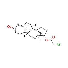 C[C@]12CC[C@H]3[C@@H](CCC4=CC(=O)CC[C@@]43C)[C@@H]1CC[C@@H]2OC(=O)CBr